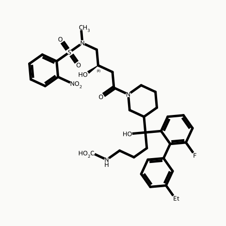 CCc1cccc(-c2c(F)cccc2C(O)(CCCNC(=O)O)C2CCCN(C(=O)C[C@@H](O)CN(C)S(=O)(=O)c3ccccc3[N+](=O)[O-])C2)c1